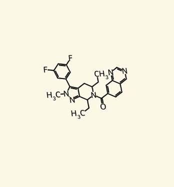 CCC1Cc2c(nn(C)c2-c2cc(F)cc(F)c2)C(CC)N1C(=O)c1ccc2cncnc2c1